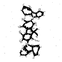 [2H]c1c([2H])c(-n2c3ccccc3c3ccccc32)c([2H])c2c1-c1c([2H])c([2H])c(-n3c4ccccc4c4ccccc43)c([2H])c1C2(C)C